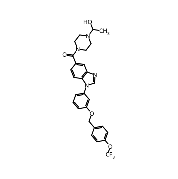 CC(O)N1CCN(C(=O)c2ccc3c(c2)ncn3-c2cccc(OCc3ccc(OC(F)(F)F)cc3)c2)CC1